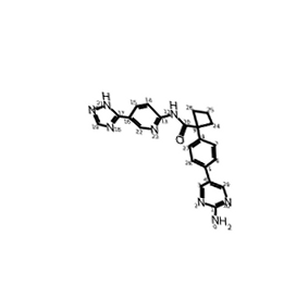 Nc1ncc(-c2ccc(C3(C(=O)Nc4ccc(-c5ncn[nH]5)cn4)CCC3)cc2)cn1